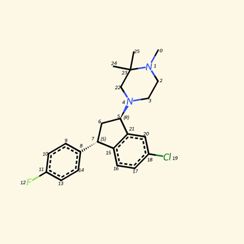 CN1CCN([C@@H]2C[C@@H](c3ccc(F)cc3)c3ccc(Cl)cc32)CC1(C)C